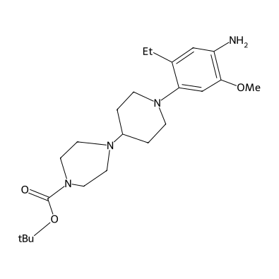 CCc1cc(N)c(OC)cc1N1CCC(N2CCN(C(=O)OC(C)(C)C)CC2)CC1